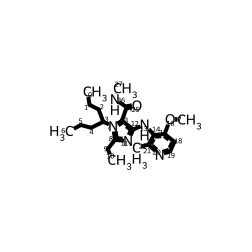 CCCC(CCC)n1c(CC)nc(Nc2c(OC)ccnc2C)c1C(=O)NC